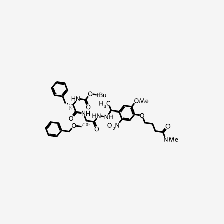 CNC(=O)CCCOc1cc([N+](=O)[O-])c(C(C)NNC(=O)[C@H](COCc2ccccc2)NC(=O)[C@H](Cc2ccccc2)NC(=O)OC(C)(C)C)cc1OC